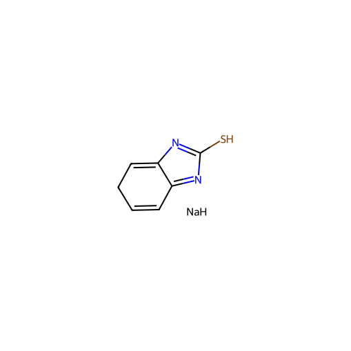 SC1=NC2=CCC=CC2=N1.[NaH]